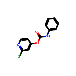 O=C(Nc1ccccc1)Oc1ccnc(Cl)c1